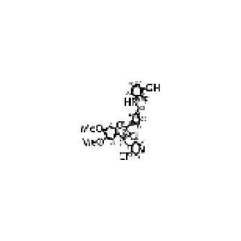 COc1ccc([C@H](Cc2c(Cl)cncc2Cl)OC(=O)c2ccc(CNc3cccc(O)c3F)s2)cc1OC